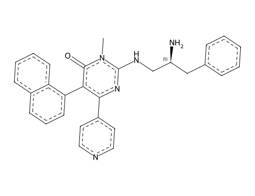 Cn1c(NC[C@@H](N)Cc2ccccc2)nc(-c2ccncc2)c(-c2cccc3ccccc23)c1=O